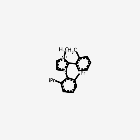 Cc1ccccc1-c1n(-c2c(C(C)C)cccc2C(C)C)cc[n+]1C